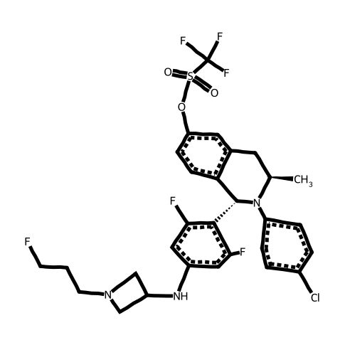 C[C@@H]1Cc2cc(OS(=O)(=O)C(F)(F)F)ccc2[C@@H](c2c(F)cc(NC3CN(CCCF)C3)cc2F)N1c1ccc(Cl)cc1